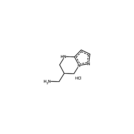 Cl.NCC1CNc2ccnn2C1